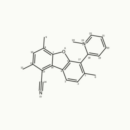 Cc1ccc2c(oc3c(C)cc(C)c(C#N)c32)c1-c1cccc[n+]1C